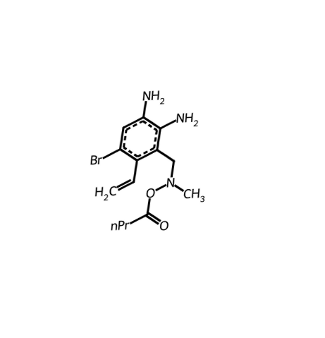 C=Cc1c(Br)cc(N)c(N)c1CN(C)OC(=O)CCC